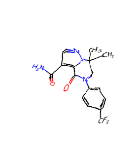 CC1(C)CN(c2ccc(C(F)(F)F)cc2)C(=O)c2c(C(N)=O)cnn21